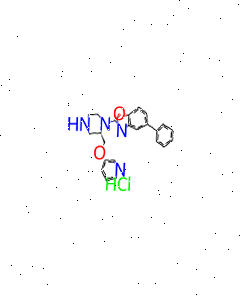 Cl.c1ccc(-c2ccc3oc(N4CCNC[C@@H]4COc4cccnc4)nc3c2)cc1